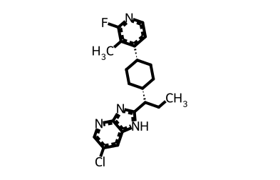 CCC(c1nc2ncc(Cl)cc2[nH]1)[C@H]1CC[C@@H](c2ccnc(F)c2C)CC1